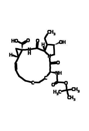 CCC1[C@H](O)CN2C(=O)[C@@H](NC(=O)OC(C)(C)C)CCCCCC=C[C@@H]3C[C@@]3(C(=O)O)NC(=O)[C@H]12